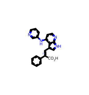 O=C(O)/C(=C\c1c[nH]c2nccc(Nc3cccnc3)c12)c1ccccc1